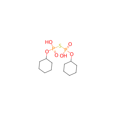 O=P(O)(OC1CCCCC1)SP(=O)(O)OC1CCCCC1